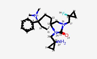 CN(C)[C@]1(c2ccccc2)CC[C@]2(CC1)CN(CC1(F)CC1)C(=O)N2CC1(N)CC1